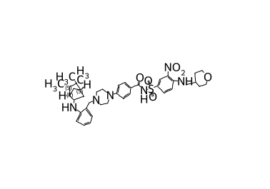 C[C@H]1[C@H]2C[C@@H](CC2Nc2ccccc2CN2CCN(c3ccc(C(=O)NS(=O)(=O)c4ccc(NCC5CCOCC5)c([N+](=O)[O-])c4)cc3)CC2)C1(C)C